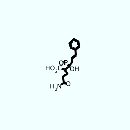 NC(=O)CCC(C(=O)O)C(O)(C/C=C/c1ccccc1)P=O